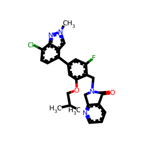 CC(C)COc1cc(-c2ccc(Cl)c3nn(C)cc23)cc(F)c1CN1Cc2ncccc2C1=O